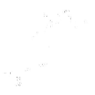 CCCN(C)C/C=N/C=C(\NC)c1cc2c3c(c1)OCc1cc(-c4cnc(CN(CCC)C(=O)[C@H](NC(=O)CC(C)C)c5ccccc5)[nH]4)cc(c1-3)OC2